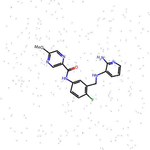 COc1cnc(C(=O)Nc2ccc(F)c(CNc3cccnc3N)c2)cn1